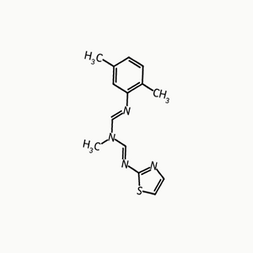 Cc1ccc(C)c(/N=C/N(C)/C=N/c2nccs2)c1